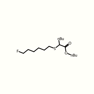 CCCCOC(=O)C(CCCC)SCCCCCCF